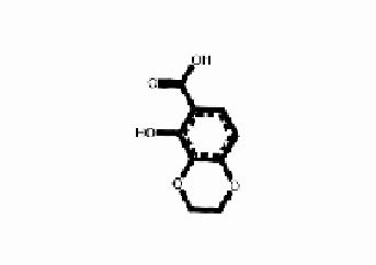 O=C(O)c1ccc2c(c1O)OCCO2